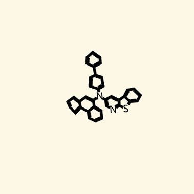 c1ccc(-c2ccc(N(c3cnc4sc5ccccc5c4c3)c3cc4ccccc4c4ccccc34)cc2)cc1